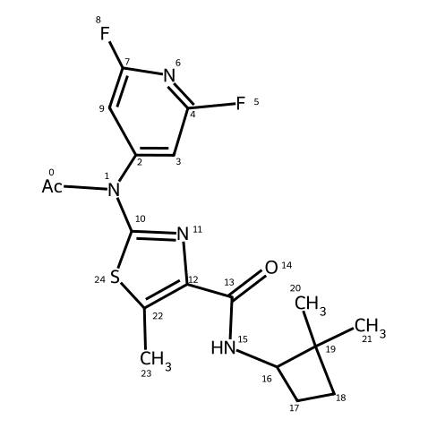 CC(=O)N(c1cc(F)nc(F)c1)c1nc(C(=O)NC2CCC2(C)C)c(C)s1